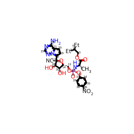 CCC(CC)COC(=O)[C@H](C)N[P@](=O)(OC[C@H]1O[C@@](C#N)(c2ccc3c(N)ncnn23)[C@H](O)[C@@H]1O)Oc1ccc([N+](=O)[O-])cc1